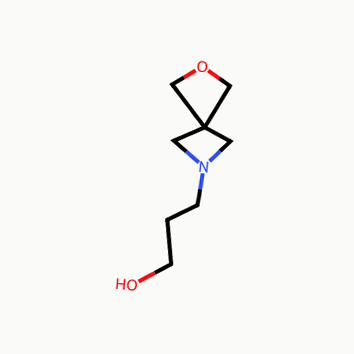 OCCCN1CC2(COC2)C1